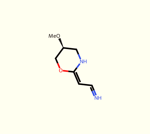 CO[C@H]1CN/C(=C\C=N)OC1